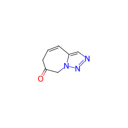 O=C1CC=Cc2cnnn2C1